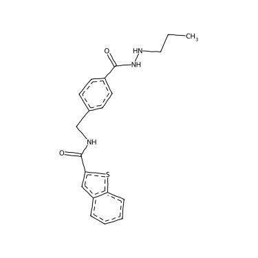 CCCNNC(=O)c1ccc(CNC(=O)c2cc3ccccc3s2)cc1